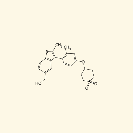 Cc1cc(OC2CCS(=O)(=O)CC2)ccc1-c1c(C)sc2ccc(CO)cc12